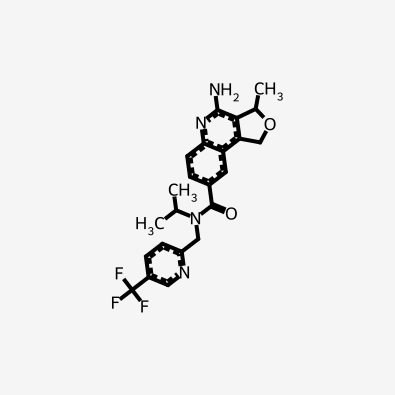 CC1OCc2c1c(N)nc1ccc(C(=O)N(Cc3ccc(C(F)(F)F)cn3)C(C)C)cc21